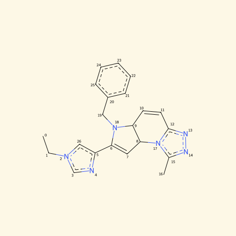 CCn1cnc(C2=CC3C(C=Cc4nnc(C)n43)N2Cc2ccccc2)c1